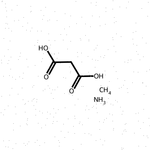 C.N.O=C(O)CC(=O)O